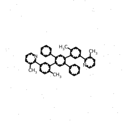 Cc1ccc(-c2ncccc2C)cc1-c1cc(-c2ccccc2)c(-c2cc(-c3ncccc3C)ccc2C)cc1-c1ccccc1